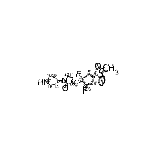 CS(=O)(=O)c1cc(F)c(CN2CCN(C3CCNCC3)C2=O)c(F)c1